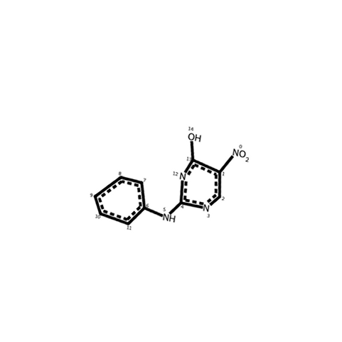 O=[N+]([O-])c1cnc(Nc2ccccc2)nc1O